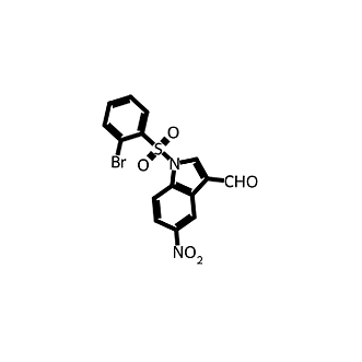 O=Cc1cn(S(=O)(=O)c2ccccc2Br)c2ccc([N+](=O)[O-])cc12